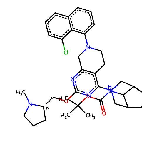 CN1CCC[C@H]1COc1nc2c(c(N3CC4CCC(C3)C4NC(=O)OC(C)(C)C)n1)CCN(c1cccc3cccc(Cl)c13)C2